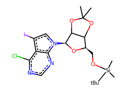 CC1(C)OC2C(O1)[C@@H](CO[Si](C)(C)C(C)(C)C)O[C@H]2n1cc(I)c2c(Cl)ncnc21